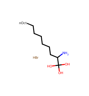 Br.CCCCCCCCCCCCCCC(N)C(O)(O)O